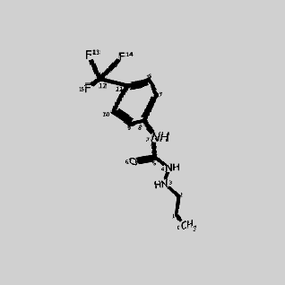 CCCNNC(=O)Nc1ccc(C(F)(F)F)cc1